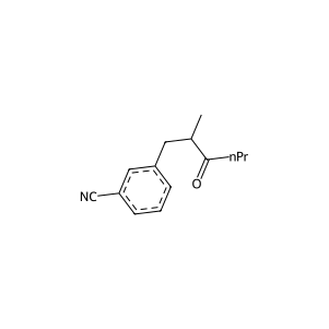 CCCC(=O)C(C)Cc1cccc(C#N)c1